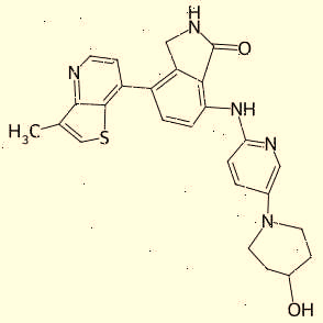 Cc1csc2c(-c3ccc(Nc4ccc(N5CCC(O)CC5)cn4)c4c3CNC4=O)ccnc12